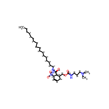 CCCCCCCCCCCCCCCCCCNC(=O)C1C(COC(=O)NCCCN(C)C)CC=CC1[N+](=O)[O-]